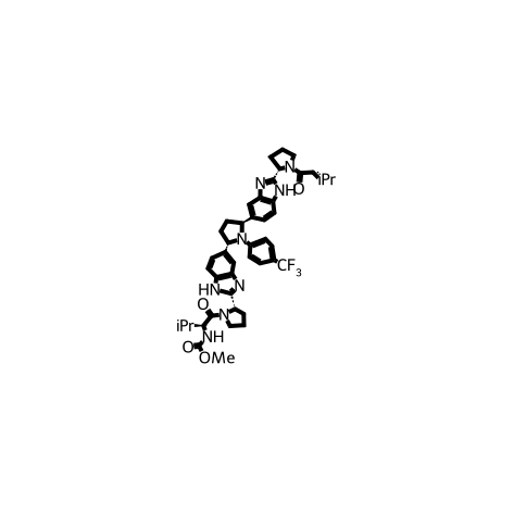 COC(=O)N[C@H](C(=O)N1CCC[C@H]1c1nc2cc([C@@H]3CC[C@@H](c4ccc5[nH]c([C@@H]6CCCN6C(=O)[CH]C(C)C)nc5c4)N3c3ccc(C(F)(F)F)cc3)ccc2[nH]1)C(C)C